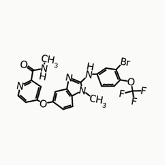 CNC(=O)c1cc(Oc2ccc3c(c2)nc(Nc2ccc(OC(F)(F)F)c(Br)c2)n3C)ccn1